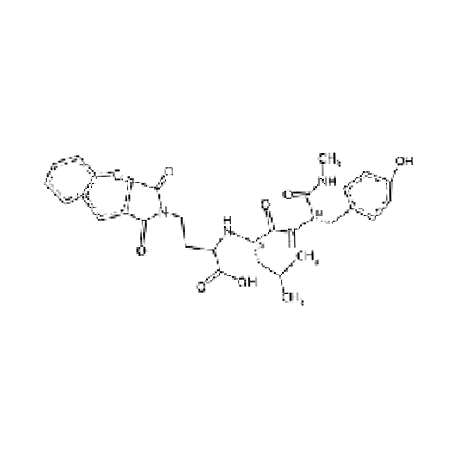 CNC(=O)[C@H](Cc1ccc(O)cc1)NC(=O)[C@H](CC(C)C)NC(CCN1C(=O)c2cc3ccccc3cc2C1=O)C(=O)O